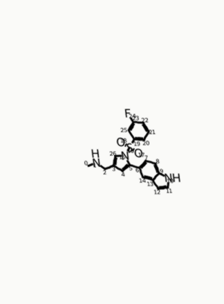 CNCc1cc(-c2ccc3[nH]ccc3c2)n(S(=O)(=O)c2cccc(F)c2)c1